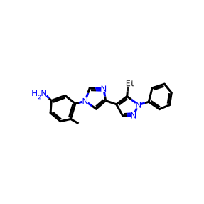 CCc1c(-c2cn(-c3cc(N)ccc3C)cn2)cnn1-c1ccccc1